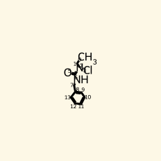 CCN(Cl)C(=O)NCc1ccccc1